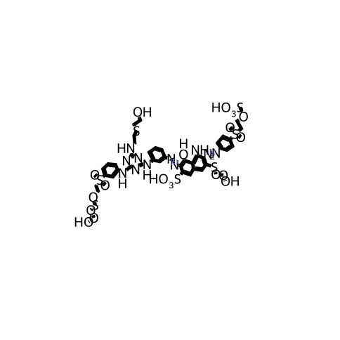 Nc1c(/N=N/c2ccc(S(=O)(=O)CCOS(=O)(=O)O)cc2)c(SOOO)cc2cc(S(=O)(=O)O)c(/N=N/c3cccc(Nc4nc(NCCSCCO)nc(Nc5cccc(S(=O)(=O)CCOSOOO)c5)n4)c3)c(O)c12